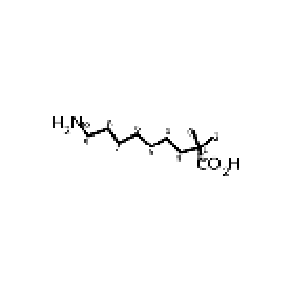 CC(C)(CCCCCCCN)C(=O)O